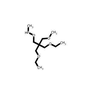 CCOCC(COC)(COCC)COPC